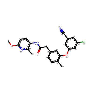 COc1ccc(NC(=O)Cc2ccc(C)c(Oc3cc(Cl)cc(C#N)c3)c2)c(C)n1